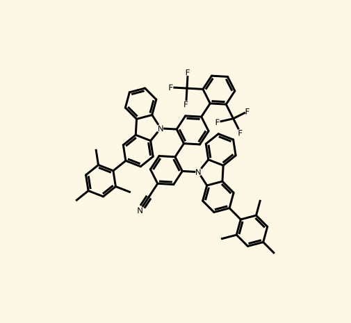 Cc1cc(C)c(-c2ccc3c(c2)c2ccccc2n3-c2cc(C#N)ccc2-c2ccc(-c3c(C(F)(F)F)cccc3C(F)(F)F)cc2-n2c3ccccc3c3cc(-c4c(C)cc(C)cc4C)ccc32)c(C)c1